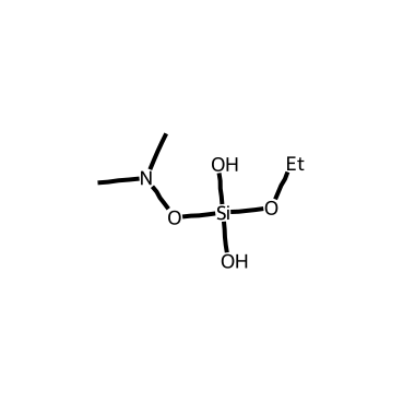 CCO[Si](O)(O)ON(C)C